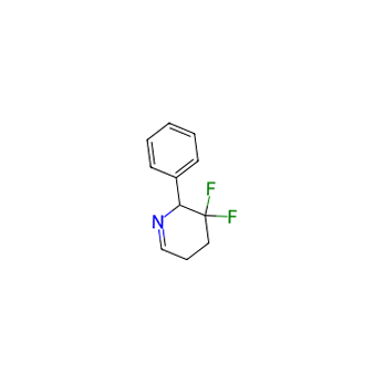 FC1(F)CCC=NC1c1ccccc1